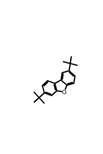 CC(C)(C)c1ccc2c(c1)oc1ccc(C(C)(C)C)cc12